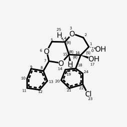 O[C@H]1CO[C@@H]2COC(c3ccccc3)O[C@H]2[C@@]1(O)c1cc[c]c(Cl)c1